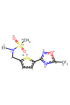 CCN(Cc1ccc(-c2noc(C(F)(F)F)n2)s1)S(C)(=O)=O